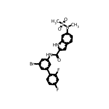 CN(c1ccc2cc(C(=O)Nc3cc(Br)cc(-c4ccc(F)cc4F)c3)[nH]c2c1)S(C)(=O)=O